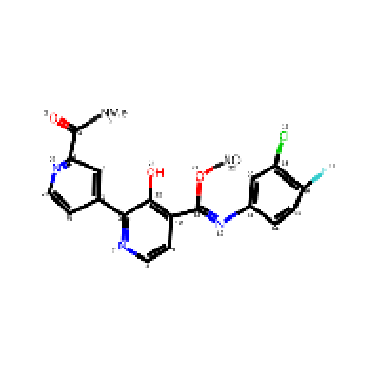 CNC(=O)c1cc(-c2nccc(C(=Nc3ccc(F)c(Cl)c3)ON=O)c2O)ccn1